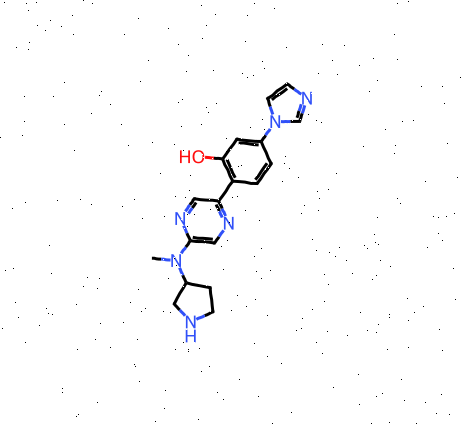 CN(c1cnc(-c2ccc(-n3ccnc3)cc2O)cn1)C1CCNC1